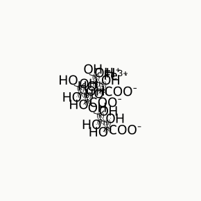 O=C([O-])[C@H](O)[C@@H](O)[C@H](O)[C@H](O)CO.O=C([O-])[C@H](O)[C@@H](O)[C@H](O)[C@H](O)CO.O=C([O-])[C@H](O)[C@@H](O)[C@H](O)[C@H](O)CO.[Fe+3].[H+]